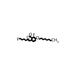 CCCCCCCCOc1ccc2cc(CCCCF)oc(=O)c2c1F